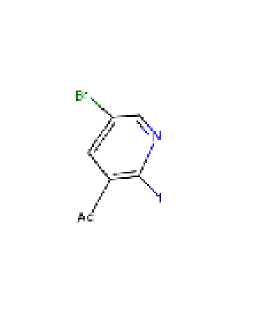 CC(=O)c1cc(Br)cnc1I